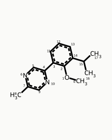 COc1c(-c2cnc(C)cn2)cccc1C(C)C